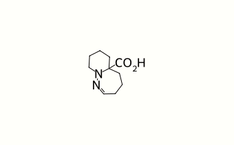 O=C(O)C12CCCC=NN1CCCC2